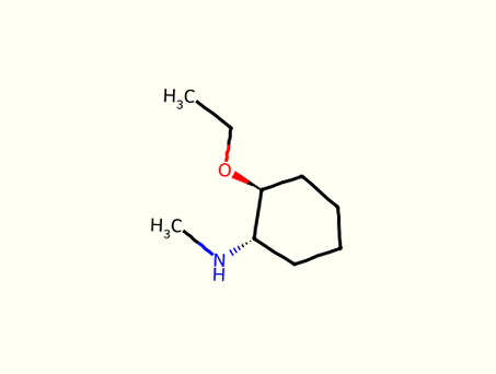 CCO[C@H]1CCCC[C@@H]1NC